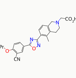 Cc1c(-c2noc(-c3ccc(OC(C)C)c(C#N)c3)n2)ccc2c1CCN(CC(=O)O)C2